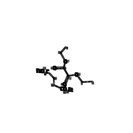 CCOC(=O)C(=O)OCC.CCOC(=O)CCC(=O)OCC